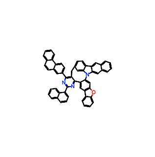 c1ccc2cc3c(cc2c1)c1ccc2cc1n3-c1cc3oc4ccccc4c3cc1-c1nc(-c3cccc4ccccc34)nc(-c3ccc4c(ccc5ccccc54)c3)c1C2